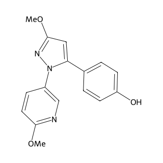 COc1ccc(-n2nc(OC)cc2-c2ccc(O)cc2)cn1